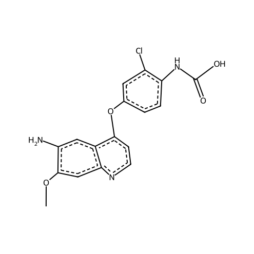 COc1cc2nccc(Oc3ccc(NC(=O)O)c(Cl)c3)c2cc1N